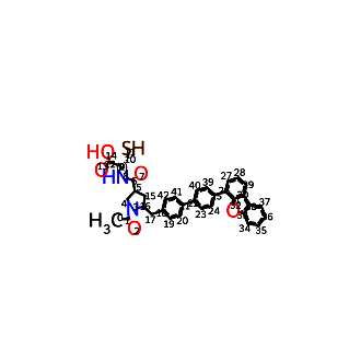 CC(=O)N1CC(C(=O)N[C@@H](CS)C(=O)O)CC1Cc1ccc(-c2ccc(-c3cccc4c3oc3ccccc34)cc2)cc1